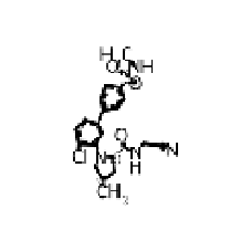 CNS(=O)(=O)c1ccc(-c2ccc(Cl)c(N3C[C@@H](C)C[C@H]3C(=O)NCC#N)c2)cc1